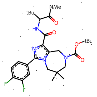 CNC(=O)C(NC(=O)c1nc(-c2ccc(F)c(F)c2)n2c1CN(C(=O)OC(C)(C)C)CC(C)(C)C2)C(C)(C)C